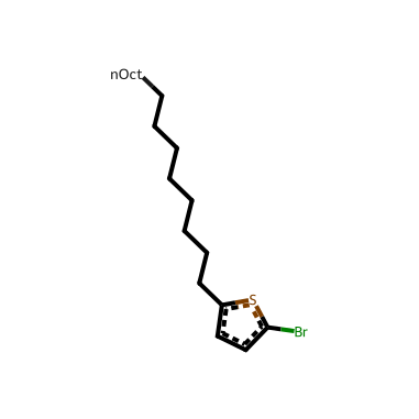 CCCCCCCCCCCCCCCCc1ccc(Br)s1